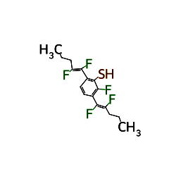 CCC/C(F)=C(\F)c1ccc(/C(F)=C(\F)CCC)c(S)c1F